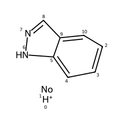 [H+].[No].c1ccc2[nH]ncc2c1